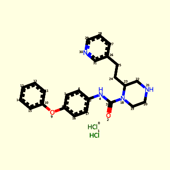 Cl.Cl.O=C(Nc1ccc(Oc2ccccc2)cc1)N1CCNCC1CCc1cccnc1